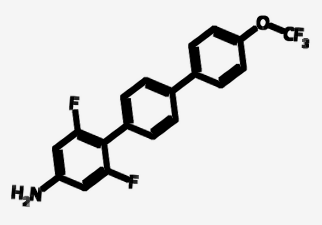 Nc1cc(F)c(-c2ccc(-c3ccc(OC(F)(F)F)cc3)cc2)c(F)c1